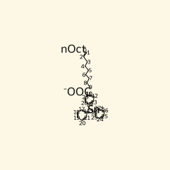 CCCCCCCCC=CCCCCCCCC(=O)[O-].c1cc[c]([Sn+]([c]2ccccc2)[c]2ccccc2)cc1